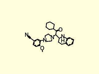 COc1ccc(C#N)cc1N1CCN(C(C(=O)C2CCCCC2)C2CCc3ccccc3N2)CC1